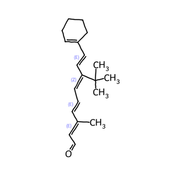 CC(/C=C/C=C(/C=C/C1=CCCCC1)C(C)(C)C)=C\C=O